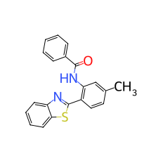 Cc1ccc(-c2nc3ccccc3s2)c(NC(=O)c2ccccc2)c1